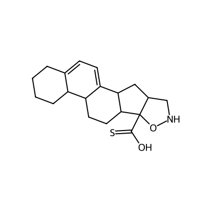 OC(=S)C12ONCC1CC1C3=CC=C4CCCCC4C3CCC12